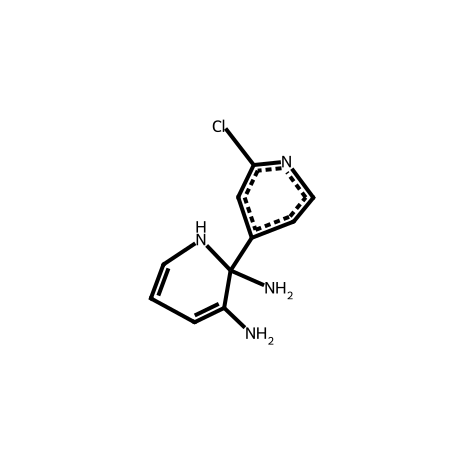 NC1=CC=CNC1(N)c1ccnc(Cl)c1